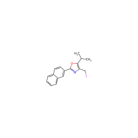 CC(C)c1oc(-c2ccc3ccccc3c2)nc1CI